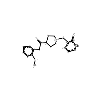 CCCOc1ccccc1CC(=O)C1CCN(Cc2ncc[nH]c2=O)CC1